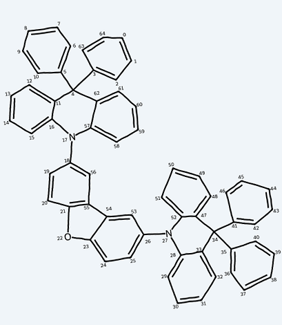 c1ccc(C2(c3ccccc3)c3ccccc3N(c3ccc4oc5ccc(N6c7ccccc7C(c7ccccc7)(c7ccccc7)c7ccccc76)cc5c4c3)c3ccccc32)cc1